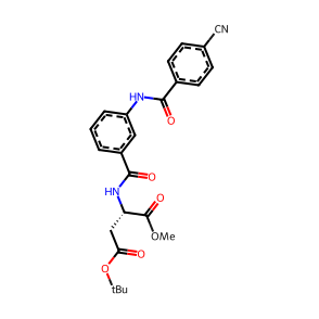 COC(=O)[C@H](CC(=O)OC(C)(C)C)NC(=O)c1cccc(NC(=O)c2ccc(C#N)cc2)c1